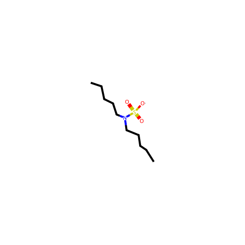 CCCCCN(CCCCC)S([O])(=O)=O